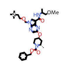 COCC(C)NC(=O)c1cn(COCC[Si](C)(C)C)c2ncc(O[C@@H]3CCN(C(=O)OCc4ccccc4)[C@@H](C)C3)nc12